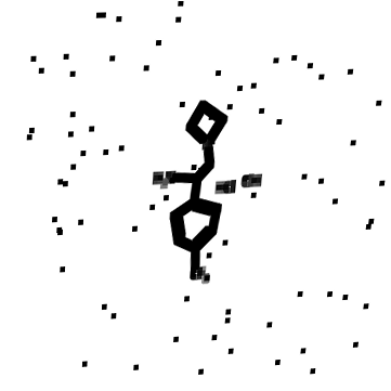 Cl.Cl.NC(CN1CCC1)c1ccc(C(F)(F)F)cc1